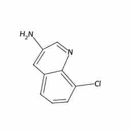 Nc1cnc2c(Cl)cccc2c1